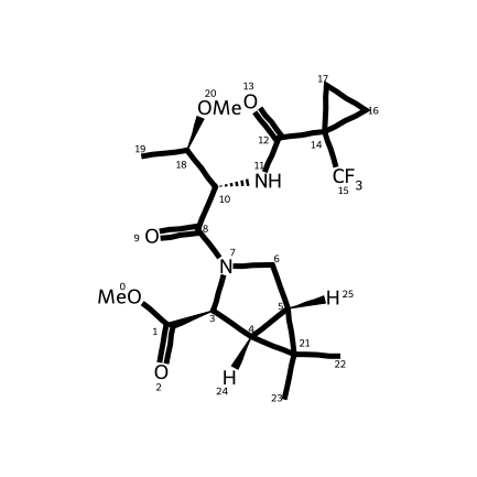 COC(=O)[C@@H]1[C@@H]2[C@H](CN1C(=O)[C@@H](NC(=O)C1(C(F)(F)F)CC1)[C@@H](C)OC)C2(C)C